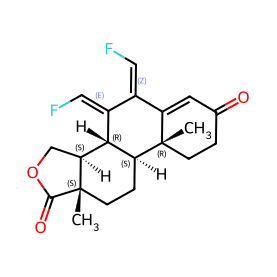 C[C@]12CCC(=O)C=C1C(=C/F)/C(=C/F)[C@@H]1[C@@H]2CC[C@]2(C)C(=O)OC[C@@H]12